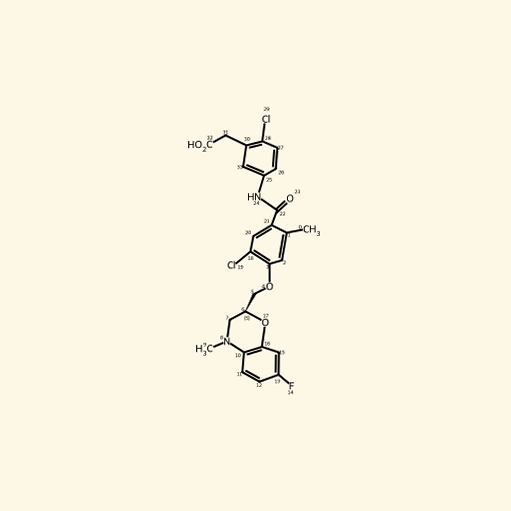 Cc1cc(OC[C@@H]2CN(C)c3ccc(F)cc3O2)c(Cl)cc1C(=O)Nc1ccc(Cl)c(CC(=O)O)c1